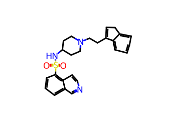 O=S(=O)(NC1CCN(CCC2=CCc3ccccc32)CC1)c1cccc2cnccc12